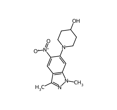 Cc1nn(C)c2cc(N3CCC(O)CC3)c([N+](=O)[O-])cc12